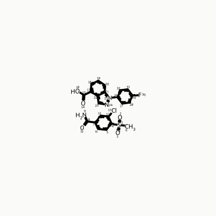 CS(=O)(=O)c1ccc(C(N)=O)cc1Cl.O=C(O)c1cccc2c1cnn2-c1ccc(F)cc1